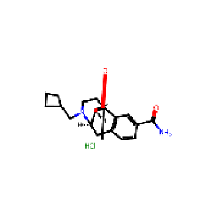 Cl.NC(=O)c1ccc2c(c1)[C@]13CCN(CC4CCC4)[C@H](C2)[C@@H]1CCC(=O)C3